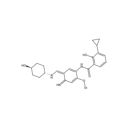 CCOC1=CC(=N)/C(=C\N[C@H]2CC[C@H](O)CC2)C=C1NC(=O)c1cccc(C2CC2)[n+]1O